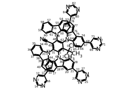 CC(C)(C)c1c(-n2c3ccc(-c4cncnc4)cc3c3cc(-c4cncnc4)ccc32)c(-n2c3ccccc3c3ccccc32)c(C#N)c(-n2c3ccccc3c3ccccc32)c1-n1c2ccc(-c3cncnc3)cc2c2cc(-c3cncnc3)ccc21